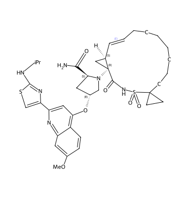 COc1ccc2c(O[C@@H]3C[C@@H](C(N)=O)N([C@]45C[C@H]4/C=C/CCCCCCCC4(CC4)S(=O)(=O)NC5=O)C3)cc(-c3csc(NC(C)C)n3)nc2c1